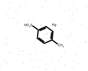 Cc1ccc(S(=O)(=O)O)cc1.[Ag]